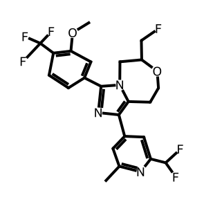 COc1cc(-c2nc(-c3cc(C)nc(C(F)F)c3)c3n2CC(CF)OCC3)ccc1C(F)(F)F